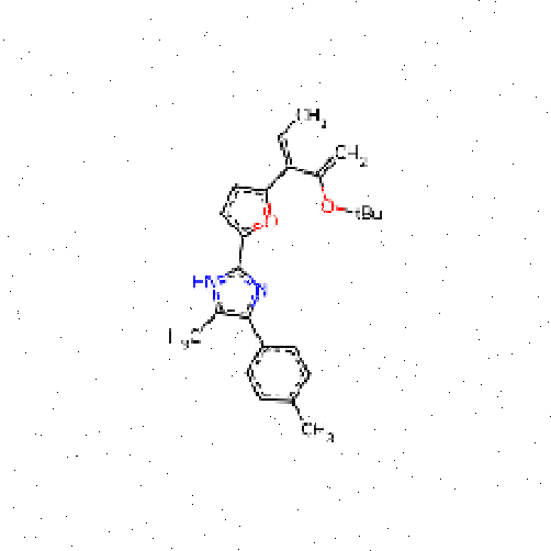 C=C(OC(C)(C)C)/C(=C\C)c1ccc(-c2nc(-c3ccc(C)cc3)c(C)[nH]2)o1